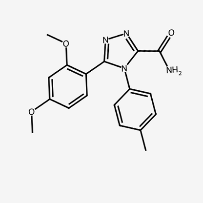 COc1ccc(-c2nnc(C(N)=O)n2-c2ccc(C)cc2)c(OC)c1